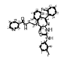 Cc1cccc(NC(=O)NC2N=C(c3ccccc3F)c3ccccc3N(CCNC(=O)c3cccnc3)C2=O)c1